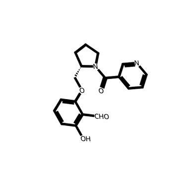 O=Cc1c(O)cccc1OC[C@@H]1CCCN1C(=O)c1cccnc1